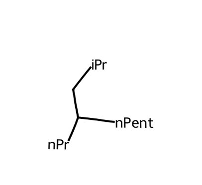 [CH2]CCC(CCCCC)CC(C)C